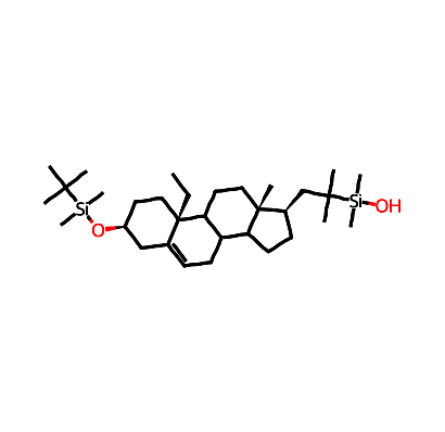 CC[C@]12CC[C@H](O[Si](C)(C)C(C)(C)C)CC1=CCC1C2CC[C@@]2(C)C1CC[C@@H]2CC(C)(C)[Si](C)(C)O